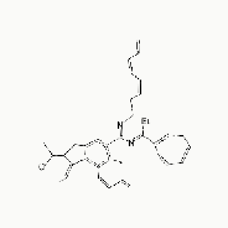 C=C/C=C\C=C/CC/N=C(\N=C(/CC)C1=CCC=CC=C1)c1cc2c(c(/C=C\C=C)c1C)/C(=C/C)C(C(C)Cl)C2